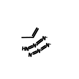 C=CC.[N-]=[N+]=N.[N-]=[N+]=[N-]